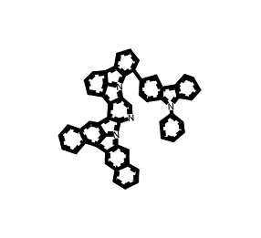 c1ccc(-n2c3ccccc3c3cc(-c4cccc5c6cccc7c8c9c%10cc%11ccccc%11c%11c%12cc%13ccccc%13cc%12n(c9ncc8n(c45)c67)c%10%11)ccc32)cc1